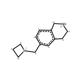 c1cc2c(cc1CN1CCC1)CCNC2